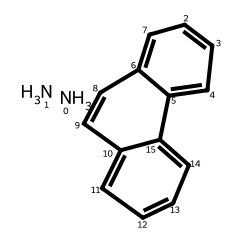 N.N.c1ccc2c(c1)ccc1ccccc12